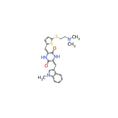 CN(C)CCSc1ccc(C=c2[nH]c(=O)c(=Cc3cn(C)c4ccccc34)[nH]c2=O)s1